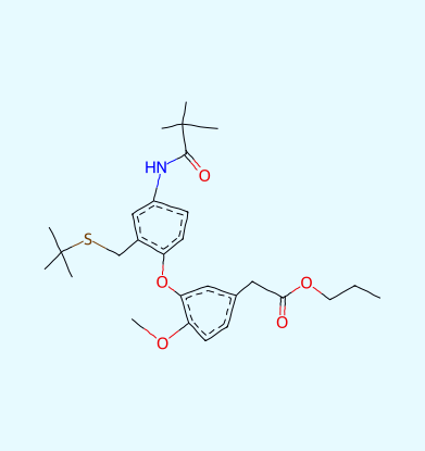 CCCOC(=O)Cc1ccc(OC)c(Oc2ccc(NC(=O)C(C)(C)C)cc2CSC(C)(C)C)c1